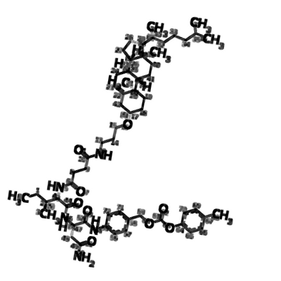 CC[C@H](C)[C@H](NC(=O)CCC(=O)NCCCO[C@H]1CC[C@@]2(C)C(=CC[C@H]3[C@@H]4CC[C@H]([C@H](C)CCCC(C)C)[C@@]4(C)CC[C@@H]32)C1)C(=O)N[C@@H](CC(N)=O)C(=O)Nc1ccc(COC(=O)Oc2ccc(C)cc2)cc1